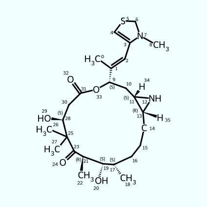 CC(=CC1=CSCN1C)[C@@H]1C[C@@H]2N[C@@H]2CCC[C@H](C)[C@H](O)[C@@H](C)C(=O)C(C)(C)[C@@H](O)CC(=O)O1